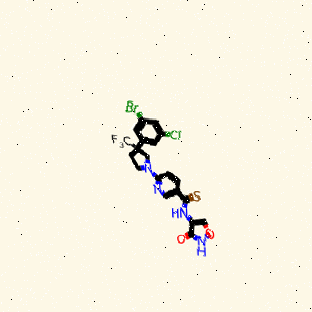 O=C1NOCC1NC(=S)c1ccc(N2CCC(c3cc(Cl)cc(Br)c3)(C(F)(F)F)C2)nc1